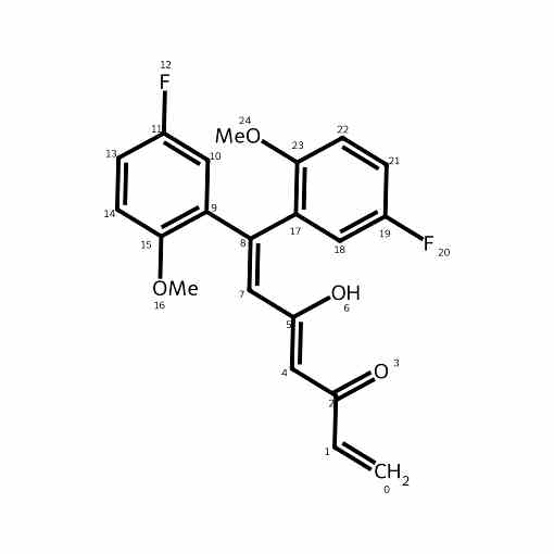 C=CC(=O)C=C(O)C=C(c1cc(F)ccc1OC)c1cc(F)ccc1OC